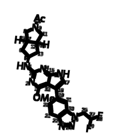 COc1nc(N[C@H]2C[C@@H]3CN(C(C)=O)C[C@@H]3C2)nc2[nH]cc(-c3ccc4nnn(CC(F)F)c4c3)c12